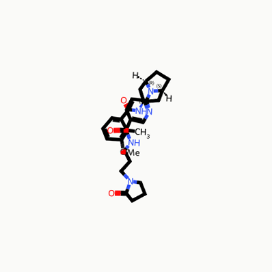 COc1cccc(C(=O)N[C@H]2C[C@H]3CC[C@@H](C2)N3c2ccc(C(=O)NCCCN3CCCC3=O)cn2)c1C